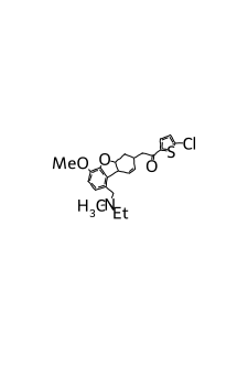 CCN(C)Cc1ccc(OC)c2c1C1C=CC(CC(=O)c3ccc(Cl)s3)CC1O2